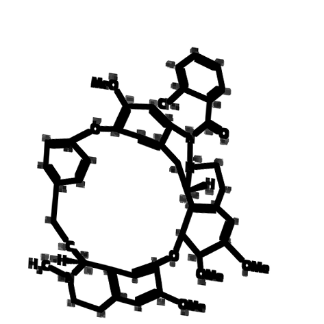 COC1=CC2=C3C(Oc4cc5c(cc4OC)CCN(C)[C@H]5CCc4ccc(cc4)Oc4cc5c(cc4OC)N(C(=O)c4ccccc4Cl)N(CC2)[C@H]3C5)C1OC